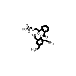 BCc1cc(CB)c(OC(=O)c2ccccc2C(=O)COCS(=O)(=O)O)c(CB)c1